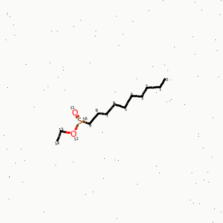 CCCCCCCCCCS(=O)OCC